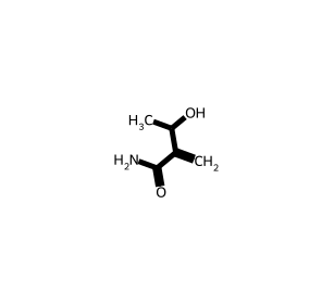 C=C(C(N)=O)C(C)O